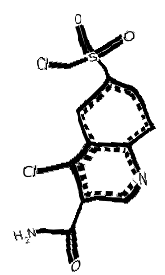 NC(=O)c1cnc2ccc(S(=O)(=O)Cl)cc2c1Cl